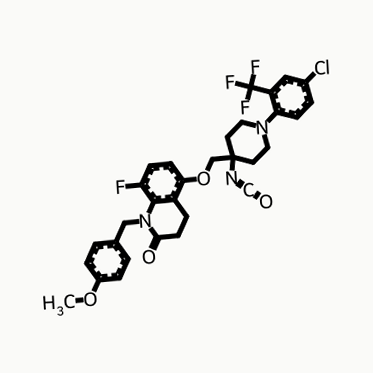 COc1ccc(CN2C(=O)CCc3c(OCC4(N=C=O)CCN(c5ccc(Cl)cc5C(F)(F)F)CC4)ccc(F)c32)cc1